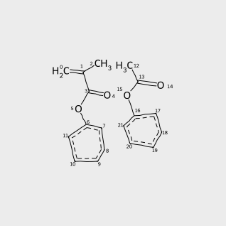 C=C(C)C(=O)Oc1ccccc1.CC(=O)Oc1ccccc1